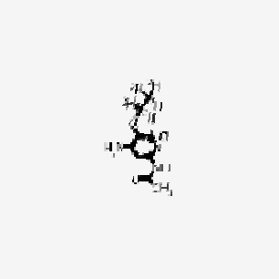 Cl.[2H]C([2H])([2H])C([2H])([2H])Oc1cnc(NC(C)=O)cc1N